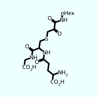 CCCCCCNC(=O)C(=O)CSCC(NC(=O)CCC(N)C(=O)O)C(=O)NCC(=O)O